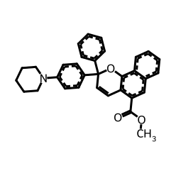 COC(=O)c1cc2ccccc2c2c1C=CC(c1ccccc1)(c1ccc(N3CCCCC3)cc1)O2